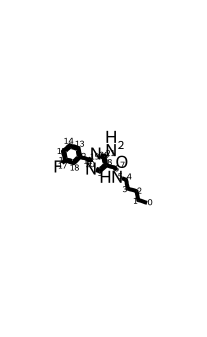 CCCCCNC(=O)c1cnc(-c2cccc(F)c2)nc1N